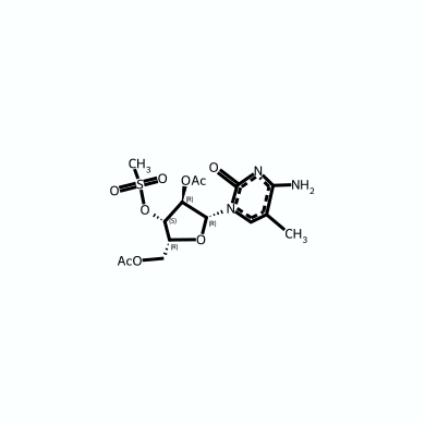 CC(=O)OC[C@H]1O[C@@H](n2cc(C)c(N)nc2=O)[C@H](OC(C)=O)[C@H]1OS(C)(=O)=O